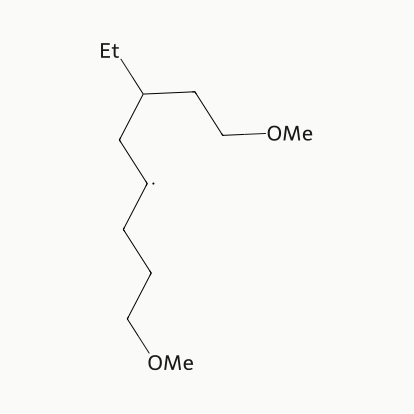 CCC(C[CH]CCCOC)CCOC